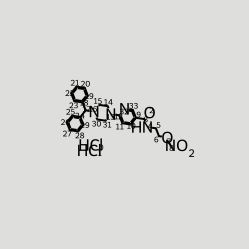 Cl.Cl.O=C(NCCO[N+](=O)[O-])c1ccc(N2CCN(C(c3ccccc3)c3ccccc3)CC2)nc1